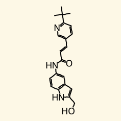 CC(C)(C)c1ccc(C=CC(=O)Nc2ccc3[nH]c(CO)cc3c2)cn1